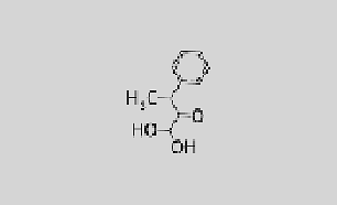 CC(C(=O)C(O)O)c1ccccc1